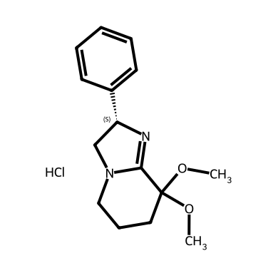 COC1(OC)CCCN2C[C@H](c3ccccc3)N=C21.Cl